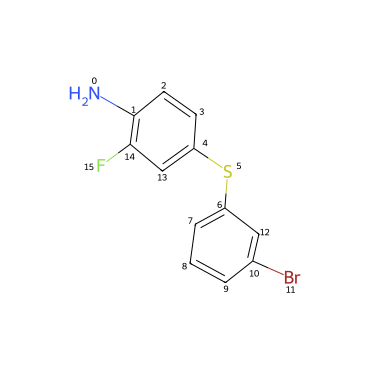 Nc1ccc(Sc2cccc(Br)c2)cc1F